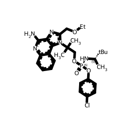 CCOCc1nc2c(N)nc3ccccc3c2n1C(C)(C)CO[P@@](=O)(N[C@@H](C)C(C)(C)C)Oc1ccc(Cl)cc1